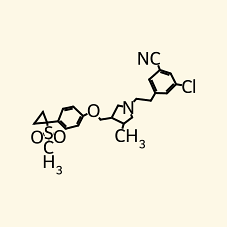 CC1CN(CCc2cc(Cl)cc(C#N)c2)CC1COc1ccc(C2(S(C)(=O)=O)CC2)cc1